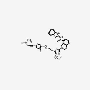 CCN(C)CC#Cc1ccc(OCCCc2sc(N3CCc4cccc(C(=O)NC5Nc6ccccc6S5)c4C3)nc2C(=O)O)c(F)c1